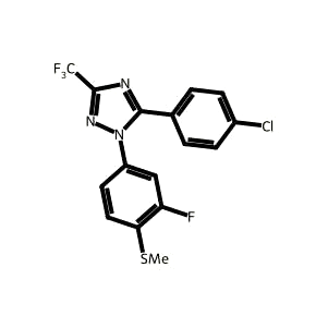 CSc1ccc(-n2nc(C(F)(F)F)nc2-c2ccc(Cl)cc2)cc1F